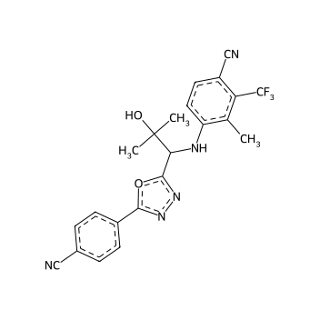 Cc1c(NC(c2nnc(-c3ccc(C#N)cc3)o2)C(C)(C)O)ccc(C#N)c1C(F)(F)F